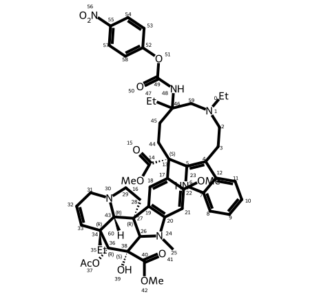 CCN1CCc2c([nH]c3ccccc23)[C@@](C(=O)OC)(c2cc3c(cc2OC)N(C)C2[C@]34CCN3CC=C[C@@](CC)([C@@H](OC(C)=O)[C@]2(O)C(=O)OC)[C@H]34)CCC(CC)(NC(=O)Oc2ccc([N+](=O)[O-])cc2)C1